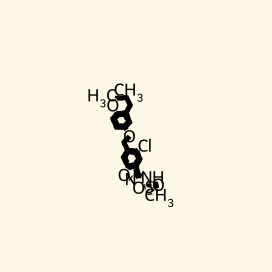 CC1(C)CCc2cc(OCc3cc4onc(NS(C)(=O)=O)c4cc3Cl)ccc2O1